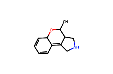 N#CC1OC2C=CC=CC2=C2CNCC21